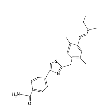 CCN(C)C=Nc1cc(C)c(Cc2nc(-c3ccc(C(N)=O)cc3)cs2)cc1C